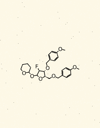 COc1ccc(COC[C@H]2OC(OC3CCCCO3)[C@@H](F)[C@@H]2OCc2ccc(OC)cc2)cc1